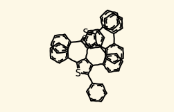 c1ccc(-c2ccccc2-c2c(-c3ccccc3)sc(-c3ccccc3)c2-c2c(-c3ccccc3)sc(-c3ccccc3)c2-c2ccccc2-c2ccccc2)cc1